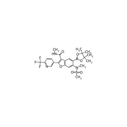 CNC(=O)c1c(-c2ccc(C(F)(F)F)nc2)oc2cc(N(C)S(C)(=O)=O)c(B3OC(C)(C)C(C)(C)O3)cc12